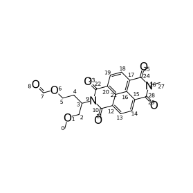 COCC(CCOC=O)N1C(=O)c2ccc3c4c(ccc(c24)C1=O)C(=O)N(C)C3=O